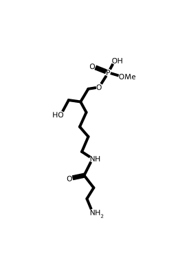 COP(=O)(O)OCC(CO)CCCCNC(=O)CCN